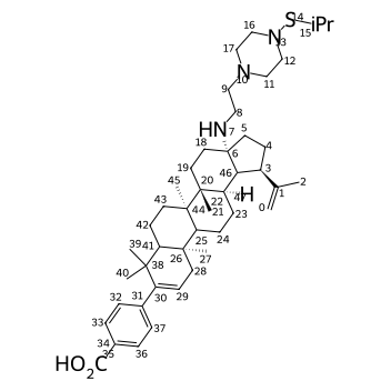 C=C(C)[C@@H]1CC[C@]2(NCCN3CCN(SC(C)C)CC3)CC[C@]3(C)[C@H](CCC4[C@@]5(C)CC=C(c6ccc(C(=O)O)cc6)C(C)(C)C5CC[C@]43C)C12